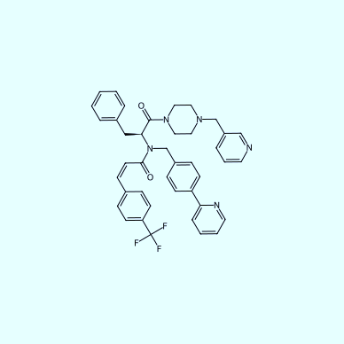 O=C([C@H](Cc1ccccc1)N(Cc1ccc(-c2ccccn2)cc1)C(=O)/C=C\c1ccc(C(F)(F)F)cc1)N1CCN(Cc2cccnc2)CC1